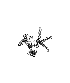 COCCOCCOCCOc1cc(C(=O)NCCCNC(=O)C(CCCNC(=O)c2ccc3cccnc3c2O)(CCCNC(=O)c2ccc3cccnc3c2O)CCCNC(=O)c2ccc3cccnc3c2O)cc(OCCOCCOCCOC)c1OCCOCCOCCOC